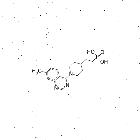 Cc1ccc2c(N3CCC(CCP(=O)(O)O)CC3)ncnc2c1